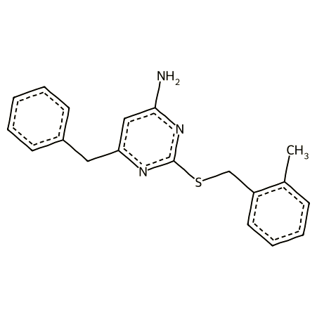 Cc1ccccc1CSc1nc(N)cc(Cc2ccccc2)n1